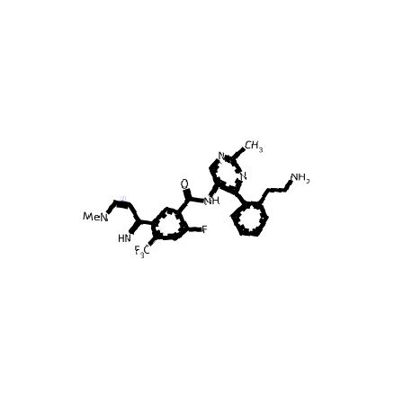 CN/C=C\C(=N)c1cc(C(=O)Nc2cnc(C)nc2-c2ccccc2CCN)c(F)cc1C(F)(F)F